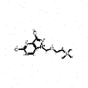 C[Si](C)(C)CCOCn1nc(Cl)c2nc(Cl)ncc21